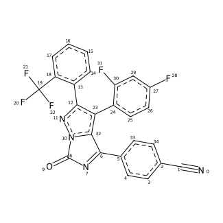 N#Cc1ccc(C2=NC(=O)n3nc(-c4ccccc4C(F)(F)F)c(-c4ccc(F)cc4F)c32)cc1